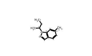 CCC(C)n1ncc2ccc(C)cc21